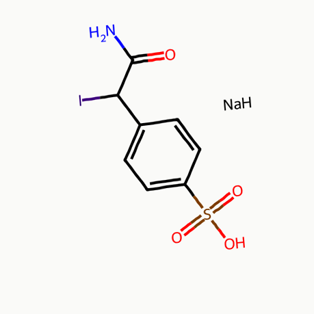 NC(=O)C(I)c1ccc(S(=O)(=O)O)cc1.[NaH]